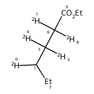 [2H]C(CC)C([2H])([2H])C([2H])([2H])C(=O)OCC